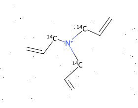 C=C[14CH2][N+]([14CH2]C=C)[14CH2]C=C